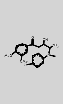 COc1ccc(C(=O)CC(O)C(N)N(C)c2ccc(Cl)cc2)cc1OC